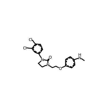 CNc1ccc(OCCN2CCN(c3ccc(Cl)c(Cl)c3)C2=O)cc1